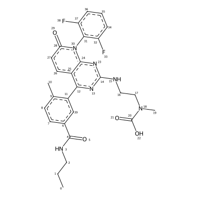 CCCNC(=O)c1ccc(C)c(-c2nc(NCCN(C)C(=O)O)nc3c2ccc(=O)n3-c2c(F)cccc2F)c1